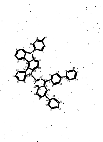 Cc1ccc(-n2c3ccccc3c3c4c5ccccc5n(-c5nc(-c6ccc(-c7ccccc7)cc6)c6cc(-c7ccccc7)ccc6n5)c4ccc32)cc1